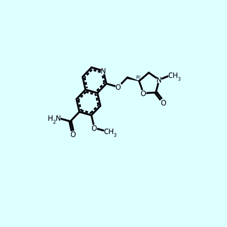 COc1cc2c(OC[C@H]3CN(C)C(=O)O3)nccc2cc1C(N)=O